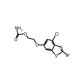 NC(=O)OCCOc1cc(Cl)c2nc(Br)sc2c1